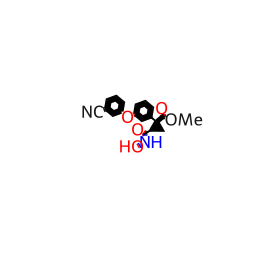 COC(=O)[C@]1(c2cccc(Oc3cccc(C#N)c3)c2)C[C@H]1C(=O)NO